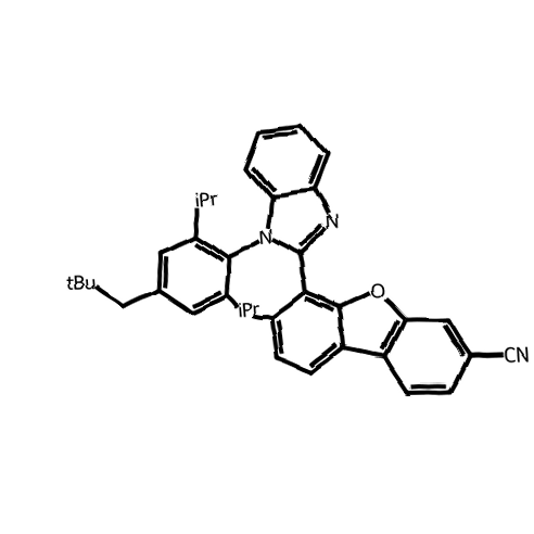 Cc1ccc2c(oc3cc(C#N)ccc32)c1-c1nc2ccccc2n1-c1c(C(C)C)cc(CC(C)(C)C)cc1C(C)C